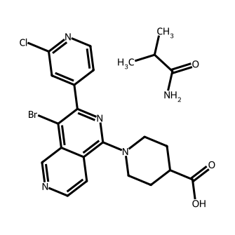 CC(C)C(N)=O.O=C(O)C1CCN(c2nc(-c3ccnc(Cl)c3)c(Br)c3cnccc23)CC1